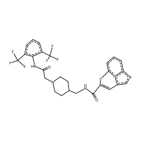 O=C(CN1CCC(CNC(=O)C2=Cc3cnc4cccc(n34)S2)CC1)Nc1c(C(F)(F)F)cccc1C(F)(F)F